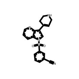 N#Cc1cccc(S(=O)(=O)n2cc(C3=CCNCC3)c3ncccc32)c1